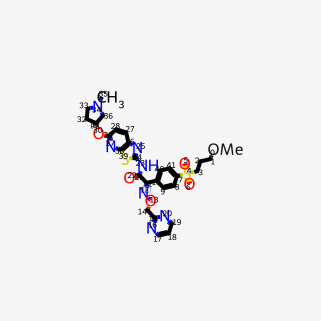 COCCCS(=O)(=O)c1ccc(/C(=N\OCc2ncccn2)C(=O)Nc2nc3ccc(O[C@@H]4CCN(C)C4)nc3s2)cc1